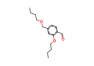 CCCCOCc1ccc(C=O)c(OCCCC)c1